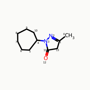 CC1=NN(C2CCCCCC2)C(=O)C1